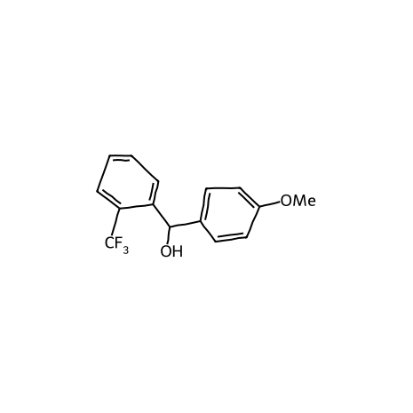 COc1ccc(C(O)c2ccccc2C(F)(F)F)cc1